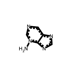 Nn1cncc2ncnc1-2